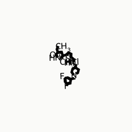 CCc1cc(-c2ccc(CNCC3CCN(Cc4cc(F)cc(F)c4)CC3)s2)c(C)[nH]c1=O.Cl